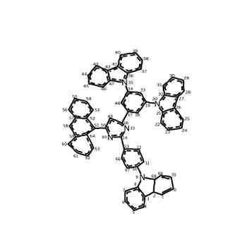 C1=CC2c3ccccc3N(c3ccc(-c4nc(-c5cc(-n6c7ccccc7c7ccccc76)cc(-n6c7ccccc7c7ccccc76)c5)cc(-c5c6ccccc6cc6ccccc56)n4)cc3)C2C=C1